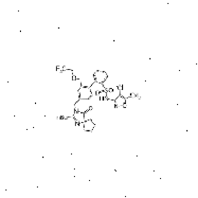 CCCCC1=NC2(CCCC2)C(=O)N1Cc1ccc(-c2ccccc2S(=O)(=O)Nc2noc(C)c2Cl)c(COCC(F)(F)F)c1